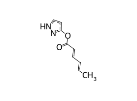 C/C=C/C=C/C(=O)Oc1cc[nH]n1